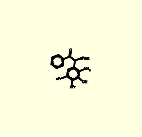 CCCCCC(C(=O)c1ccccc1)c1cc(CCC)c(CCC)c(O)c1N